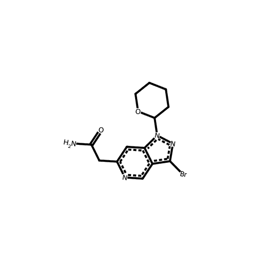 NC(=O)Cc1cc2c(cn1)c(Br)nn2C1CCCCO1